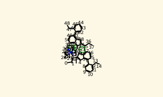 CCCC1=Cc2c(-c3ccccc3CC)cccc2[CH]1[Zr]([Cl])([Cl])([BH]N([Si](C)(C)C)[Si](C)(C)C)[CH]1C(CCC)=Cc2c(-c3ccccc3CC)cccc21